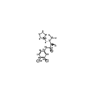 CC(C)[C@@H](CN1CCCC1)N(C)C(=O)Cc1ccc(Cl)c(Cl)c1